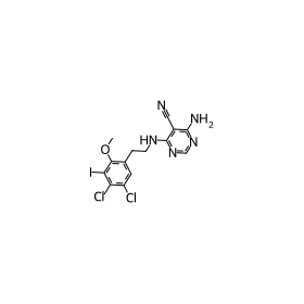 COc1c(CCNc2ncnc(N)c2C#N)cc(Cl)c(Cl)c1I